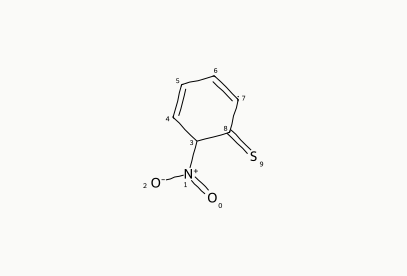 O=[N+]([O-])C1C=CC=[C]C1=S